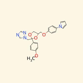 COc1ccc(C2(Cn3cncn3)OCC(COc3ccc(-n4cccc4)cc3)O2)cc1